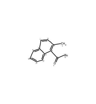 CCC(C)C(=O)c1c(C)ccc2ccccc12